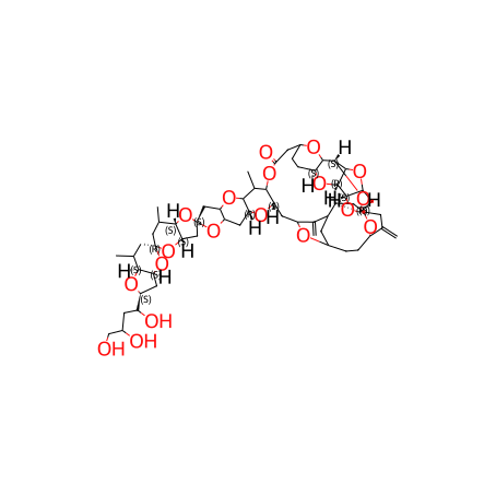 C=C1C[C@@H]2CC3C4CC(CCC1O2)OC(C[C@@H]1O[C@@H]2CC5O[C@]6(CC5OC2C(C)C1OC(=O)CC1CC[C@@H]2O[C@@H]5C7OC8C[C@]3(O[C@H]7C2O1)O[C@@H]85)C[C@@H]1O[C@]2(CC(C)[C@@H]3O[C@H](C(O)CC(O)CO)C[C@@H]3O2)CC(C)[C@@H]1O6)C4=C